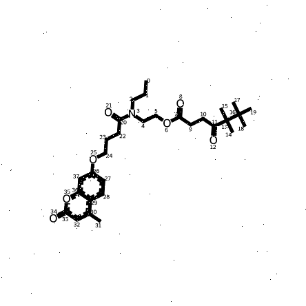 CCCN(CCOC(=O)CCC(=O)C(C)(C)C(C)(C)C)C(=O)CCCOc1ccc2c(C)cc(=O)oc2c1